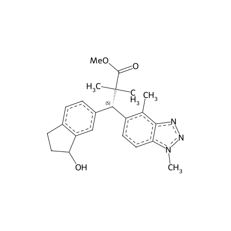 COC(=O)C(C)(C)[C@@H](c1ccc2c(c1)C(O)CC2)c1ccc2c(nnn2C)c1C